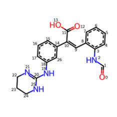 O=CNc1ccccc1C=C(C(=O)O)c1cccc(NC2=NCCCN2)c1